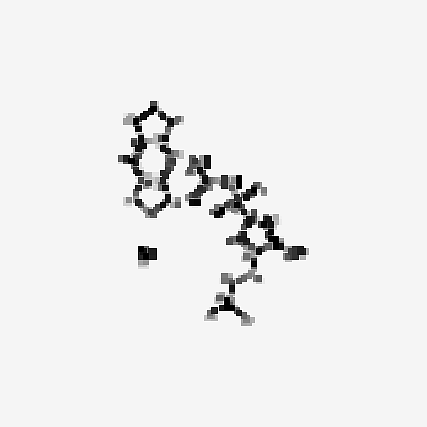 CC(C)n1nc(S(=O)(=O)NC(=O)Nc2c3c(cc4c2CCC4)CCC3)cc1CCN(C)C.[Na]